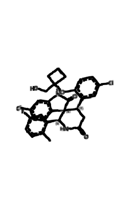 Cc1ccc(F)cc1[C@@H]1NC(=O)C[C@H](c2cc(Cl)ccc2OC2(CO)CCC2)[C@@]12C(=O)Nc1cc(Cl)ccc12